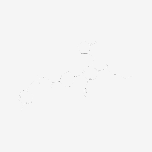 CCCCC(=O)c1cc(C#N)c(N2CCC(C(=O)NS(=O)(=O)Cc3ccc(C)cc3)CC2)nc1CN1CCCC1=O